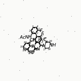 CC(=O)Nc1cccc(F)c1-c1nc2c(cc1F)c(N1CCNC[C@@H]1C)nc(=O)n2-c1c(C)ccnc1C(C)C